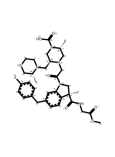 COC(=O)CNC(=O)[C@]1(C)CN(C(=O)CN2C[C@@H](C)N(C(=O)O)C[C@@H]2CN2CCOC[C@H]2C)c2cc(Cc3ccc(F)cc3)ccc21